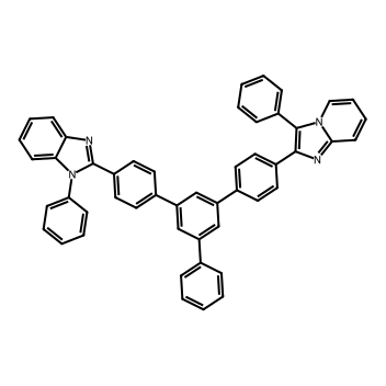 c1ccc(-c2cc(-c3ccc(-c4nc5ccccn5c4-c4ccccc4)cc3)cc(-c3ccc(-c4nc5ccccc5n4-c4ccccc4)cc3)c2)cc1